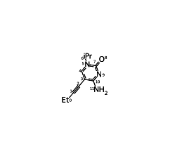 CCC#Cc1cn(C(C)C)c(=O)nc1N